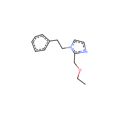 CCOCc1nccn1CCc1ccccc1